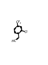 [CH]=Cc1ccc(C(F)(F)F)cc1Cl